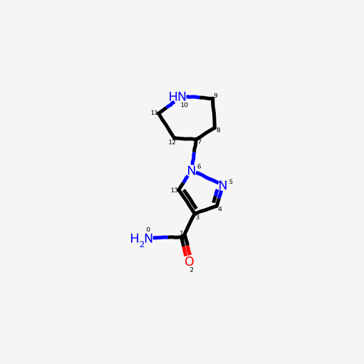 NC(=O)c1cnn(C2CCNCC2)c1